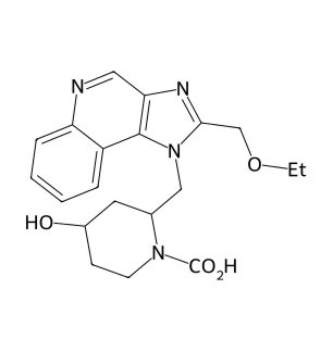 CCOCc1nc2cnc3ccccc3c2n1CC1CC(O)CCN1C(=O)O